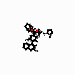 CN1CCC[C@H]1COc1nc(N2CC3CCC(C2)N3C(=O)OC(C)(C)C)c2cc(Cl)c(-c3c(F)c(O)cc4ccccc34)c(F)c2n1